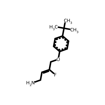 CC(C)(C)c1ccc(OCC(F)=CCN)cc1